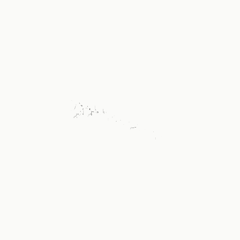 CCCCCCCCC=CCCCCCCCCNC(=O)Nc1nc(=O)cc(C)[nH]1